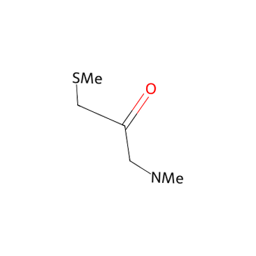 CNCC(=O)CSC